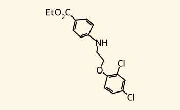 CCOC(=O)c1ccc(NCCOc2ccc(Cl)cc2Cl)cc1